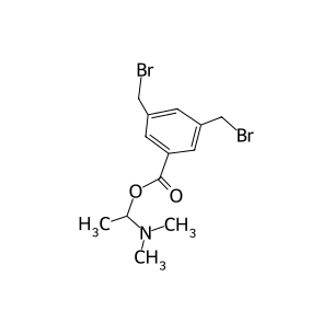 CC(OC(=O)c1cc(CBr)cc(CBr)c1)N(C)C